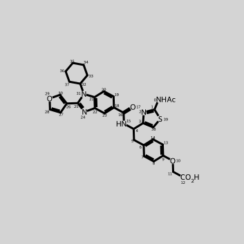 CC(=O)Nc1nc(C(Cc2ccc(OCC(=O)O)cc2)NC(=O)c2ccc3c(c2)nc(-c2ccoc2)n3C2CCCCC2)cs1